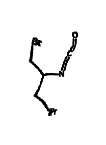 CC(C)CC(CBr)N=C=O